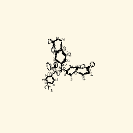 O=c1ccc2ccc([I+](OS(=O)(=O)c3ccc(C(F)(F)F)cc3)c3ccc4ccc(=O)oc4c3)cc2o1